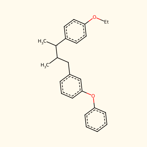 CCOc1ccc([C](C)C(C)Cc2cccc(Oc3ccccc3)c2)cc1